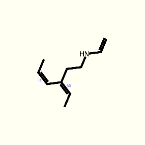 C=CNCCC(/C=C\C)=C/C